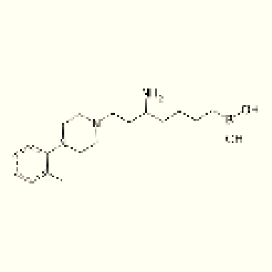 Cc1ccccc1N1CCN(CCC(N)CCCCB(O)O)CC1